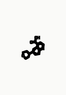 O=C(O)c1ccnc2ccc(C3CCOCC3)cc12